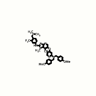 COc1ccc(CN(Cc2ccc(OC)cc2)c2cc(Oc3cnc4nc(Nc5ccc(CN(C)C)c(C(F)(F)F)c5)n(C)c4c3C#N)ccn2)cc1